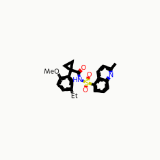 CCc1ccc(OC)c(C2(C(=O)NS(=O)(=O)c3cccc4nc(C)ccc34)CC2)c1